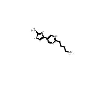 NCCCCc1ncc(-c2csc(N)n2)cn1